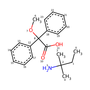 CCC(C)(C)N.COC(C(=O)O)(c1ccccc1)c1ccccc1